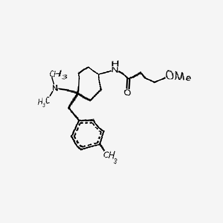 COCCC(=O)NC1CCC(Cc2ccc(C)cc2)(N(C)C)CC1